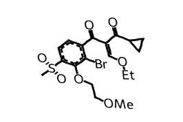 CCOC=C(C(=O)c1ccc(S(C)(=O)=O)c(OCCOC)c1Br)C(=O)C1CC1